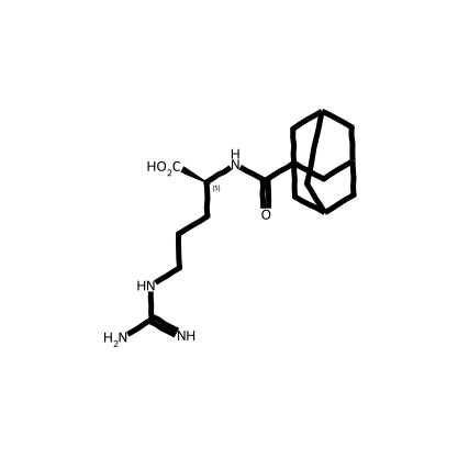 N=C(N)NCCC[C@H](NC(=O)C12CC3CC(CC(C3)C1)C2)C(=O)O